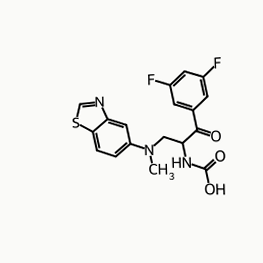 CN(CC(NC(=O)O)C(=O)c1cc(F)cc(F)c1)c1ccc2scnc2c1